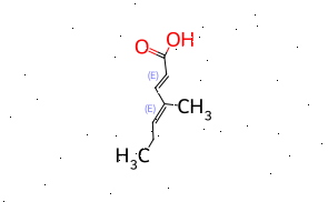 CC/C=C(C)/C=C/C(=O)O